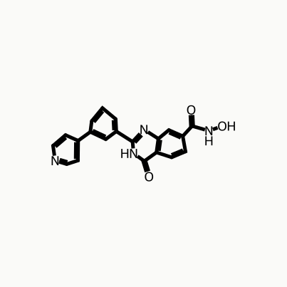 O=C(NO)c1ccc2c(=O)[nH]c(-c3cccc(-c4ccncc4)c3)nc2c1